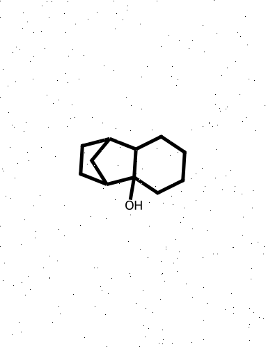 OC12CCCCC1C1CCC2C1